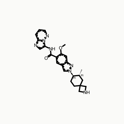 COc1cc2nn([C@@H]3CCC4(CNC4)C[C@H]3C)cc2cc1C(=O)Nc1cnc2cccnn12